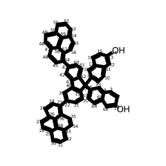 Oc1ccc2cc(C3(c4ccc5cc(O)ccc5c4)c4ccc(-c5ccc6ccc7cccc8ccc5c6c78)cc4-c4cc(-c5ccc6ccc7cccc8ccc5c6c78)ccc43)ccc2c1